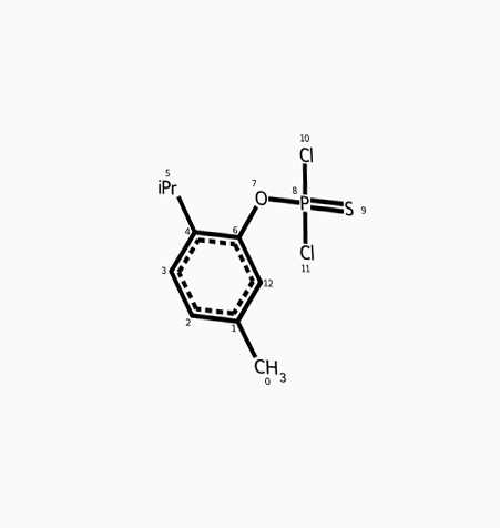 Cc1ccc(C(C)C)c(OP(=S)(Cl)Cl)c1